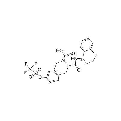 O=C(N[C@@H]1CCCc2ccccc21)C1Cc2ccc(OS(=O)(=O)C(F)(F)F)cc2CN1C(=O)O